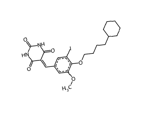 COc1cc(C=C2C(=O)NC(=O)NC2=O)cc(I)c1OCCCCC1CCCCC1